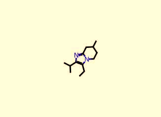 CCc1c(C(C)C)nc2n1CCC(C)C2